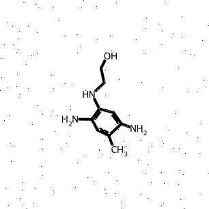 Cc1cc(N)c(NCCO)cc1N